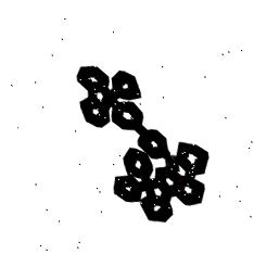 c1ccc(-c2ccccc2N(c2ccc(-c3ccc(C4(c5ccccc5)c5ccccc5-c5ccccc54)cc3)cc2)c2ccc3c(c2)C(c2ccccc2)(c2ccccc2)c2ccccc2-3)cc1